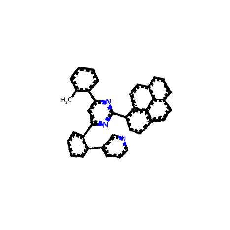 Cc1ccccc1-c1cc(-c2ccccc2-c2cccnc2)nc(-c2ccc3ccc4cccc5ccc2c3c45)n1